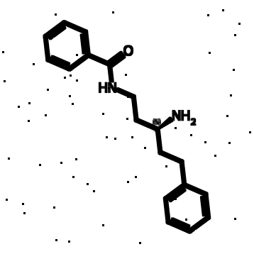 N[C@H](CCNC(=O)c1ccccc1)CCc1ccccc1